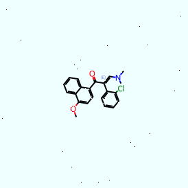 COc1ccc(C(=O)/C(=C/N(C)C)c2ccccc2Cl)c2ccccc12